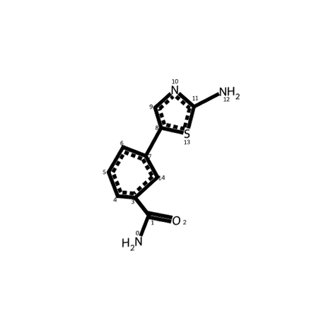 NC(=O)c1cccc(-c2cnc(N)s2)c1